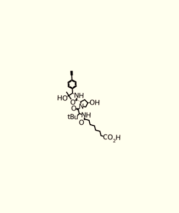 C#Cc1ccc([C@H](NC(=O)[C@@H]2C[C@@H](O)CN2C(=O)C(NC(=O)CCCCCCC(=O)O)C(C)(C)C)C(C)(C)O)cc1